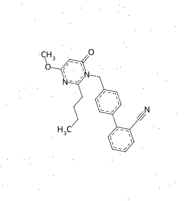 CCCCc1nc(OC)cc(=O)n1Cc1ccc(-c2ccccc2C#N)cc1